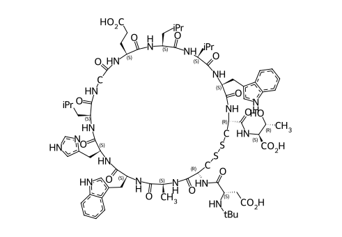 CC(C)C[C@@H]1NC(=O)[C@H](Cc2c[nH]cn2)NC(=O)[C@H](Cc2c[nH]c3ccccc23)NC(=O)[C@H](C)NC(=O)[C@@H](NC(=O)[C@H](CC(=O)O)NC(C)(C)C)CSSC[C@@H](C(=O)N[C@H](C(=O)O)[C@@H](C)O)NC(=O)[C@H](Cc2c[nH]c3ccccc23)NC(=O)[C@H](C(C)C)NC(=O)[C@H](CC(C)C)NC(=O)[C@H](CCC(=O)O)NC(=O)CNC1=O